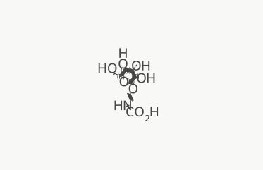 O=C(O)NCCO[C@@H]1O[C@H](CO)[C@@H](O)[C@H](O)[C@@H]1O